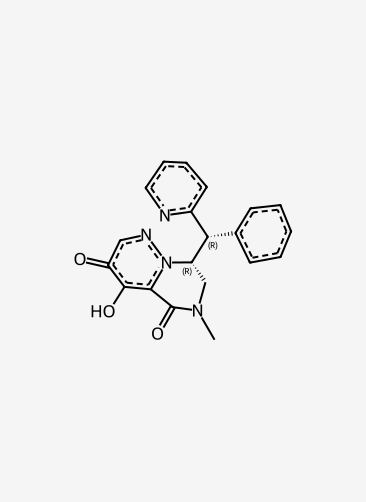 CN1C[C@@H]([C@@H](c2ccccc2)c2ccccn2)n2ncc(=O)c(O)c2C1=O